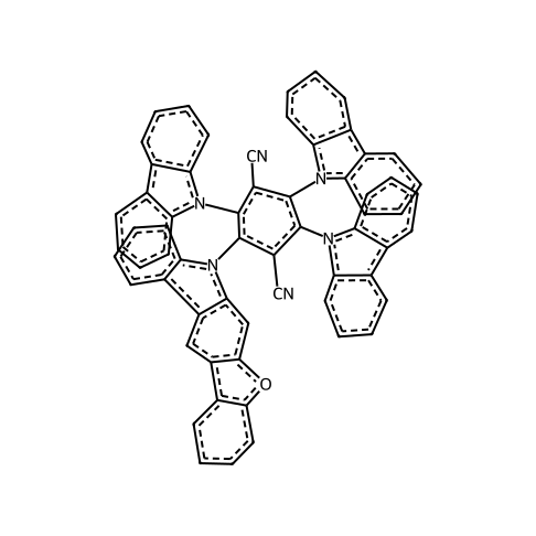 N#Cc1c(-n2c3ccccc3c3ccccc32)c(-n2c3ccccc3c3ccccc32)c(C#N)c(-n2c3ccccc3c3cc4c(cc32)oc2ccccc24)c1-n1c2ccccc2c2ccccc21